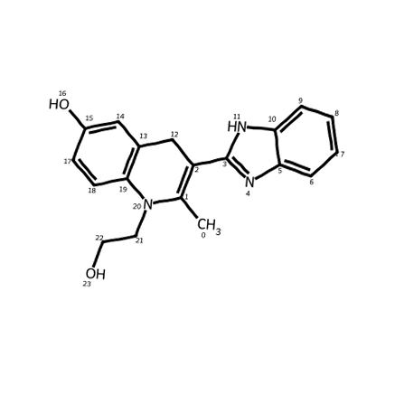 CC1=C(c2nc3c[c]ccc3[nH]2)Cc2cc(O)ccc2N1CCO